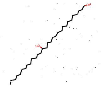 CCCCCCCCCCCCCC(O)CCCCCCCCCCCCCCCCO